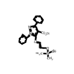 CCOC(=O)c1c(-c2ccccc2)nn(-c2ccccc2)c1OCCO[Si](C)(C)C(C)(C)C